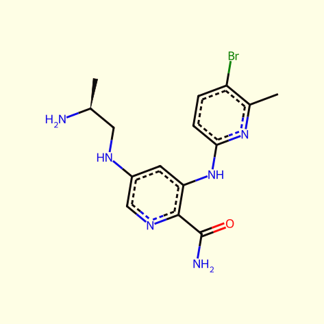 Cc1nc(Nc2cc(NC[C@H](C)N)cnc2C(N)=O)ccc1Br